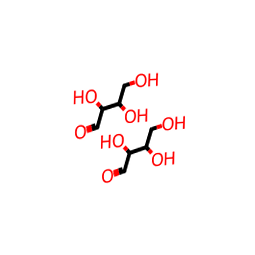 O=CC(O)C(O)CO.O=CC(O)C(O)CO